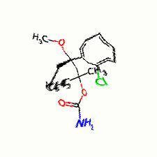 CC[C@@](OC)(c1ccccc1Cl)C(C)(C)OC(N)=O